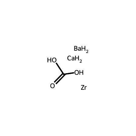 O=C(O)O.[BaH2].[CaH2].[Zr]